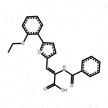 CCOc1ccccc1-c1ccc(/C=C(\NC(=O)c2ccccc2)C(=O)O)o1